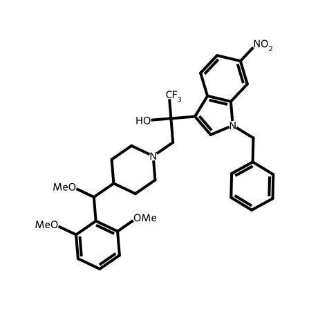 COc1cccc(OC)c1C(OC)C1CCN(CC(O)(c2cn(Cc3ccccc3)c3cc([N+](=O)[O-])ccc23)C(F)(F)F)CC1